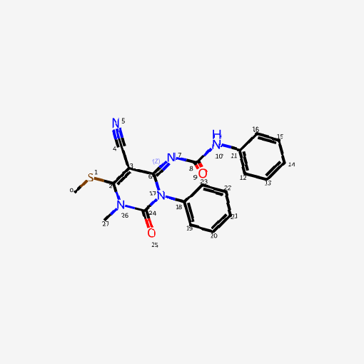 CSc1c(C#N)/c(=N/C(=O)Nc2ccccc2)n(-c2ccccc2)c(=O)n1C